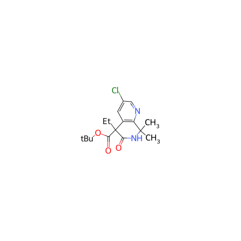 CCC1(C(=O)OC(C)(C)C)C(=O)NC(C)(C)c2ncc(Cl)cc21